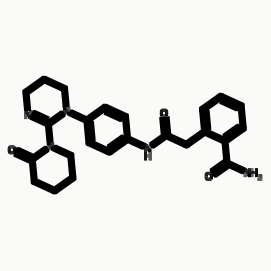 NC(=O)c1ccccc1[CH]C(=O)Nc1ccc(N2CCCN=C2N2CCCCC2=O)cc1